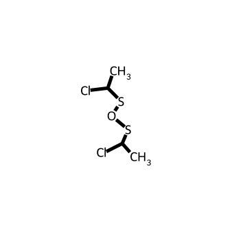 CC(Cl)SOSC(C)Cl